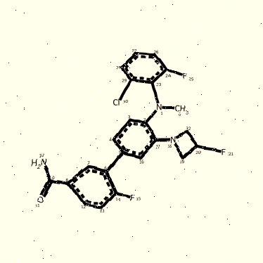 CN(c1ccc(-c2cc(C(N)=O)ccc2F)cc1N1CC(F)C1)c1c(F)cccc1Cl